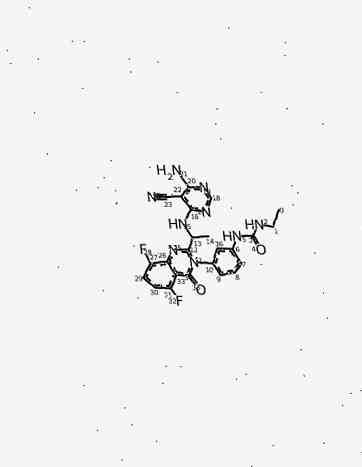 CCNC(=O)Nc1cccc(-n2c(C(C)Nc3ncnc(N)c3C#N)nc3c(F)ccc(F)c3c2=O)c1